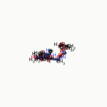 COC1C(OC(=O)N2CCC[C@H]2COC(=O)NC(=O)CN(C)CCNCC(=O)CNC(=O)[C@H](CC(C)C)NC(=O)[C@H](Cc2ccccc2)NC(=O)CNC(=O)C(C)(CC(C)(CC(C)C)C(=O)NCC(C)O)C(C)C)CC[C@]2(CO2)C1C1(C)O[C@@H]1CC=C(C)C